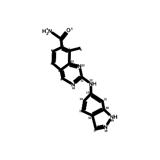 Cc1c(C(N)=O)ccc2cnc(Nc3ccc4cn[nH]c4c3)nc12